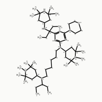 CCC(CC)N(CCCCCCN(c1nc(N2CCOCC2)nc(C(CC)(CC)NC2CC(C)(C)NC(C)(C)C2)n1)C1CC(C)(C)N(C)C(C)(C)C1)C1CC(C)(C)N(C)C(C)(C)C1